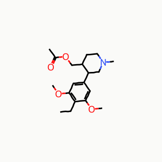 CCc1c(OC)cc(C2CN(C)CCC2COC(C)=O)cc1OC